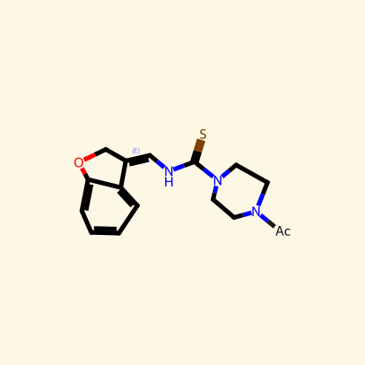 CC(=O)N1CCN(C(=S)N/C=C2/COc3ccccc32)CC1